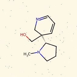 CN1CCC[C@H]1C1(CO)C=CC=NC1